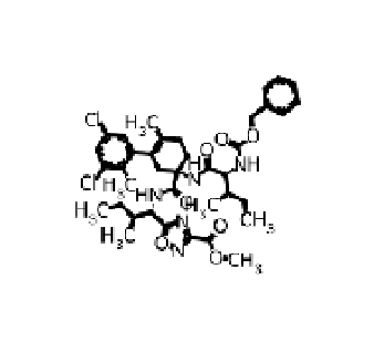 CCC(C)[C@H](NC(=O)OCc1ccccc1)C(=O)N[C@]1(C(=O)N[C@H](c2nc(C(=O)OC)no2)C(C)CC)CCC(C)=C(c2cc(Cl)cc(Cl)c2C)C1